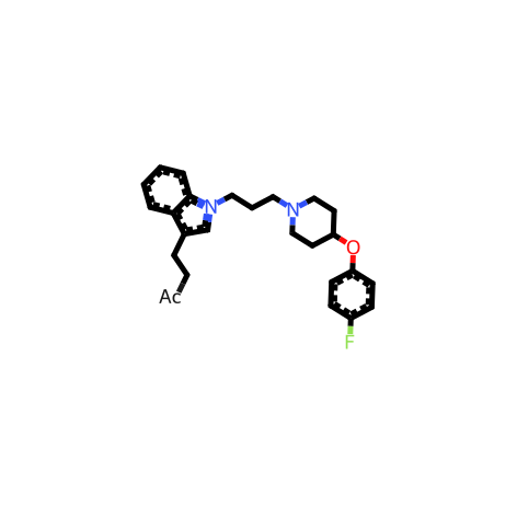 CC(=O)CCc1cn(CCCN2CCC(Oc3ccc(F)cc3)CC2)c2ccccc12